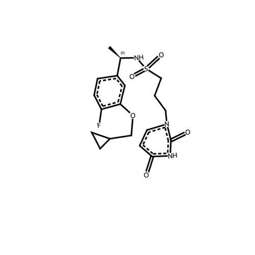 C[C@@H](NS(=O)(=O)CCCn1ccc(=O)[nH]c1=O)c1ccc(F)c(OCC2CC2)c1